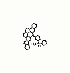 CC1(C)c2ccccc2-c2ccc(N(c3ccc4sc5ccccc5c4c3)c3cc4ccccc4c4ccc5ccccc5c34)cc21